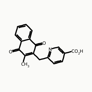 CC1=C(Cc2ccc(C(=O)O)cn2)C(=O)c2ccccc2C1=O